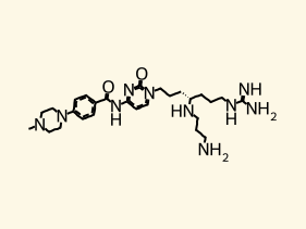 CN1CCN(c2ccc(C(=O)Nc3ccn(CCC[C@H](CCCNC(=N)N)NCCCN)c(=O)n3)cc2)CC1